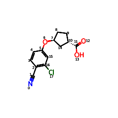 N#Cc1ccc(O[C@H]2CC[C@H](C(=O)O)C2)cc1Cl